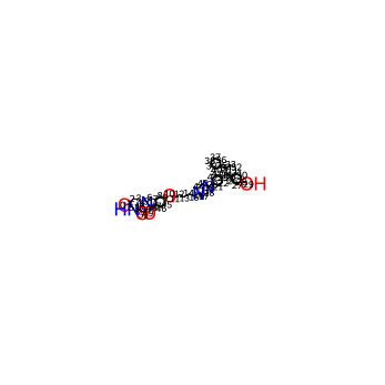 O=C1CCC(N2Cc3cc(OCCCCCN4CCN(c5ccc([C@@H]6c7ccc(O)cc7CC[C@@H]6c6ccccc6)cc5)CC4)ccc3C2=O)C(=O)N1